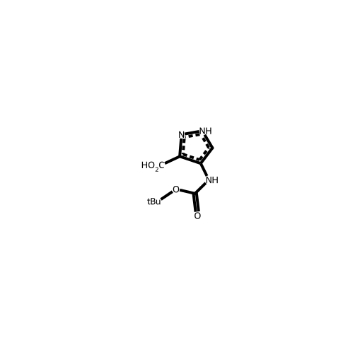 CC(C)(C)OC(=O)Nc1c[nH]nc1C(=O)O